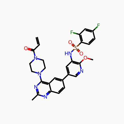 C=CC(=O)N1CCN(c2nc(C)nc3ccc(-c4cnc(OC)c(NS(=O)(=O)c5ccc(F)cc5F)c4)cc23)CC1